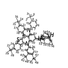 CC(C)(C)c1cccc(N2c3cc(C(C)(C)C)ccc3B3c4sc5cc(C(C)(C)C)ccc5c4N(c4ccc5c(c4)C(C)(C)CCC5(C)C)c4cc([C@@]56CC7C8C9CC%10C[C@@H]7C(C5)[C@@H](C%10)C98C6)cc2c43)c1